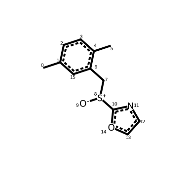 Cc1ccc(C)c(C[S+]([O-])c2ncco2)c1